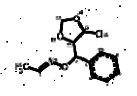 FC(F)(F)C=NOC(c1ccccc1)C1OCOC1Cl